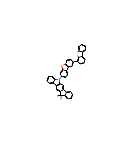 CC1(C)c2ccccc2-c2cc3c(cc21)c1ccccc1n3-c1ccc2c(c1)oc1ccc(-c3cccc4c3sc3ccccc34)cc12